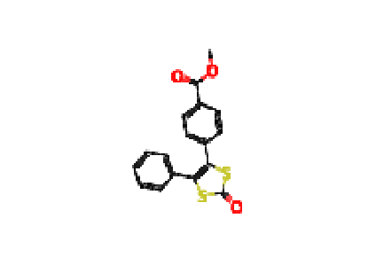 COC(=O)c1ccc(-c2sc(=O)sc2-c2ccccc2)cc1